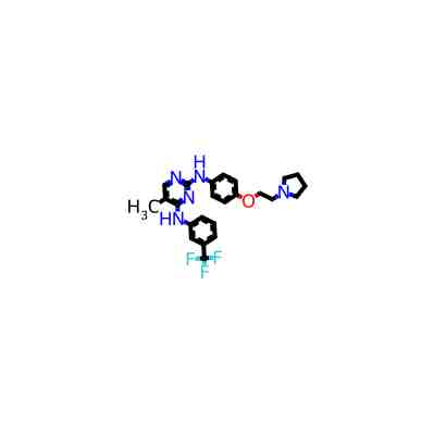 Cc1cnc(Nc2ccc(OCCN3CCCC3)cc2)nc1Nc1cccc(C(F)(F)F)c1